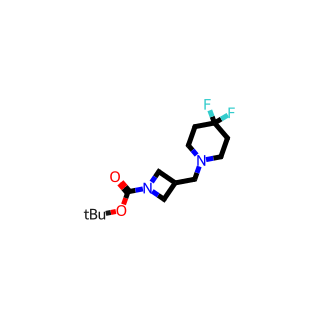 CC(C)(C)OC(=O)N1CC(CN2CCC(F)(F)CC2)C1